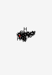 CN1CCC(O)(c2ccc(Nc3nc(-c4c(Cl)cccc4Cl)c4c(n3)N3CCN=C3NC4=O)cc2F)CC1